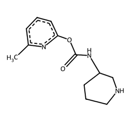 Cc1cccc(OC(=O)NC2CCCNC2)n1